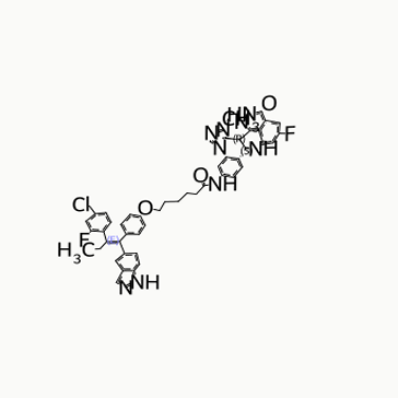 CC/C(=C(/c1ccc(OCCCCCC(=O)Nc2ccc([C@H]3Nc4cc(F)cc5c(=O)[nH]nc(c45)[C@@H]3c3ncnn3C)cc2)cc1)c1ccc2[nH]ncc2c1)c1ccc(Cl)cc1F